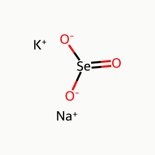 O=[Se]([O-])[O-].[K+].[Na+]